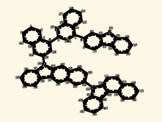 c1ccc2c(-c3nc(-c4ccc5c(c4)sc4ccccc45)c4ccccc4n3)cc(-n3c4ccccc4c4cc5cc(-n6c7ccccc7c7c8ccccc8ccc76)ccc5cc43)cc2c1